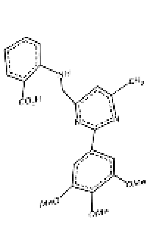 COc1cc(-c2nc(C)cc(CNc3ccccc3C(=O)O)n2)cc(OC)c1OC